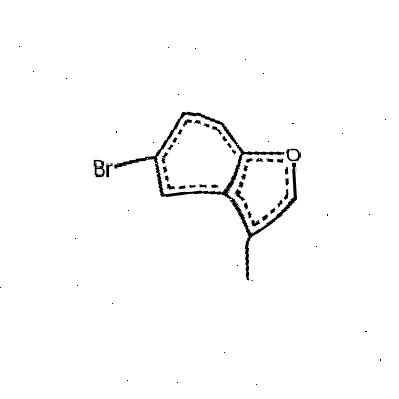 [CH2]c1coc2ccc(Br)cc12